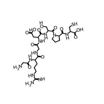 N=C(N)NCCCC(NC(=O)CN)C(=O)NCC(=O)NC(CC(=O)O)C(=O)NC(CO)C(=O)N1CCCC1C(=O)NC(CS)C(=O)O